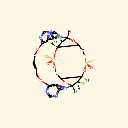 O=[P@@]1(S)OCC2O[C@@H]3[C@H](F)[C@@H]2O[P@](=O)(S)OCC2O[C@H]([C@H](F)[C@@H]2O1)n1cnc2c(ncnc21)OC/C=C/COc1ncnc2c1ncn23